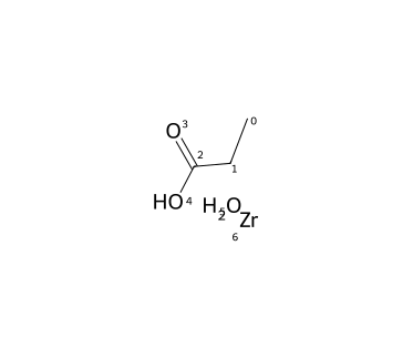 CCC(=O)O.O.[Zr]